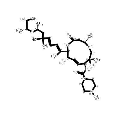 CC[C@H](O)[C@@H](C)O[C@@H](C)CC(C)(O)/C=C/C=C(\C)[C@H]1OC(=O)C[C@H](O)CC[C@@](C)(OC)[C@@H](OC(=O)N2CCN(C)CC2)/C=C/[C@@H]1C